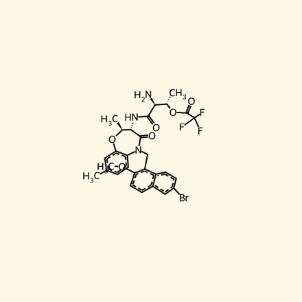 COc1ccc2cc(Br)ccc2c1CN1C(=O)[C@@H](NC(=O)[C@@H](N)[C@H](C)OC(=O)C(F)(F)F)[C@H](C)Oc2cc(C)ccc21